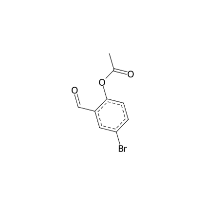 CC(=O)Oc1ccc(Br)cc1C=O